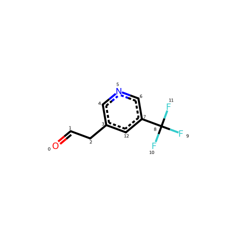 O=CCc1cncc(C(F)(F)F)c1